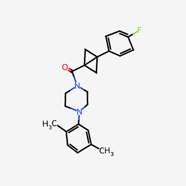 Cc1ccc(C)c(N2CCN(C(=O)C34CC3(c3ccc(F)cc3)C4)CC2)c1